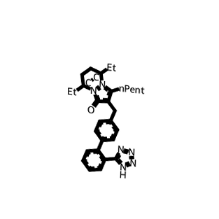 CCCCCc1c(Cc2ccc(-c3ccccc3-c3nnn[nH]3)cc2)c(=O)n2n1C1(CC)CCC2(CC)CC1